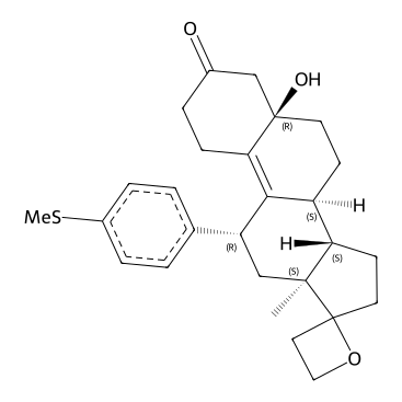 CSc1ccc([C@H]2C[C@@]3(C)[C@@H](CCC34CCO4)[C@@H]3CC[C@@]4(O)CC(=O)CCC4=C32)cc1